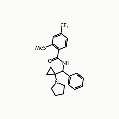 CSc1cc(C(F)(F)F)ccc1C(=O)NC(c1ccccc1)C1(N2CCCC2)CC1